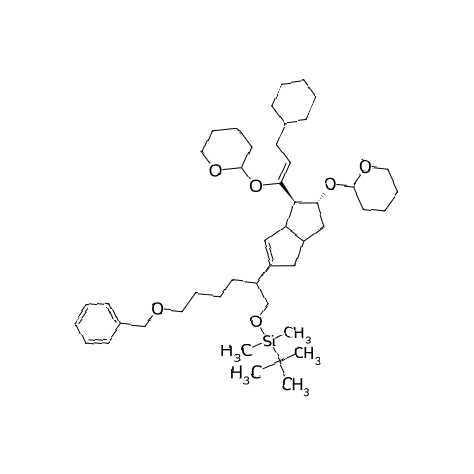 CC(C)(C)[Si](C)(C)OCC(CCCCOCc1ccccc1)C1=CC2C(C1)C[C@@H](OC1CCCCO1)[C@@H]2C(=CCC1CCCCC1)OC1CCCCO1